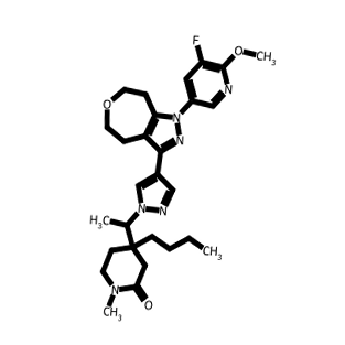 CCCCC1(C(C)n2cc(-c3nn(-c4cnc(OC)c(F)c4)c4c3CCOCC4)cn2)CCN(C)C(=O)C1